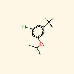 CC(C)Oc1cc(Cl)cc(C(C)(C)C)c1